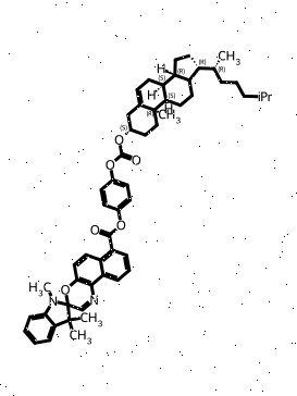 CC(C)CCC[C@@H](C)[C@H]1CC[C@@H]2C1CC[C@H]1[C@H]2CC=C2C[C@@H](OC(=O)Oc3ccc(OC(=O)c4cccc5c6c(ccc45)OC4(C=N6)N(C)c5ccccc5C4(C)C)cc3)CC[C@@]21C